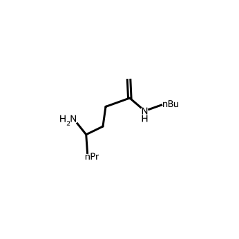 C=C(CCC(N)CCC)NCCCC